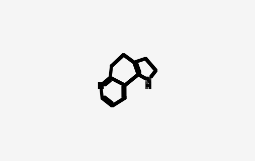 c1cnc2c(c1)C1=C(CCN1)CC2